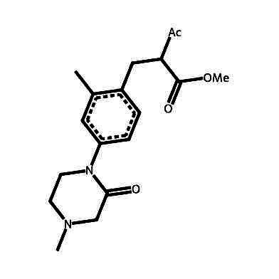 COC(=O)C(Cc1ccc(N2CCN(C)CC2=O)cc1C)C(C)=O